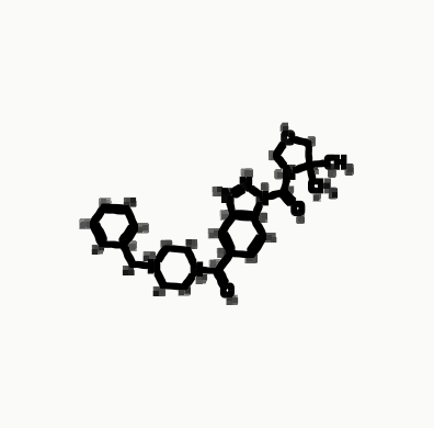 CC1(C)COCN1C(=O)n1nnc2cc(C(=O)N3CCN(Cc4ccccc4)CC3)ccc21